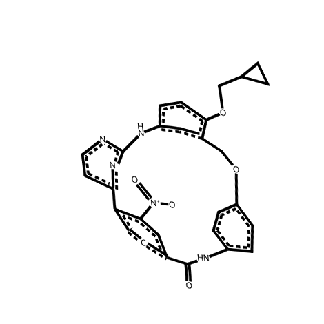 O=C1Nc2ccc(cc2)OCc2cc(ccc2OCC2CC2)Nc2nccc(n2)-c2ccc1cc2[N+](=O)[O-]